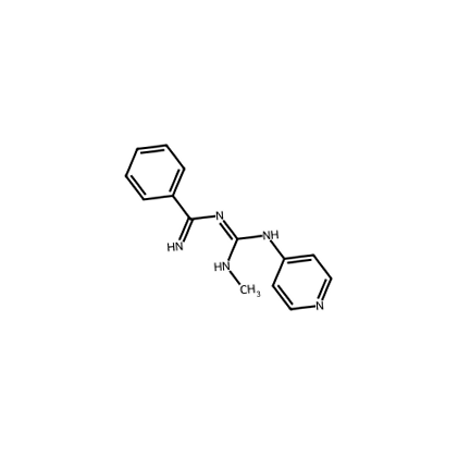 CN/C(=N\C(=N)c1ccccc1)Nc1ccncc1